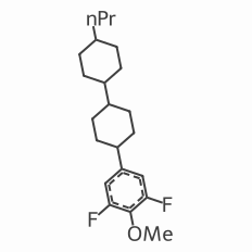 CCCC1CCC(C2CCC(c3cc(F)c(OC)c(F)c3)CC2)CC1